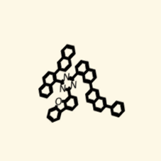 c1ccc(-c2ccc3ccc(-c4ccc5cccc(-c6nc(-c7c(-c8ccc9ccccc9c8)ccc8ccccc78)nc(-c7cccc8c7oc7ccccc78)n6)c5c4)cc3c2)cc1